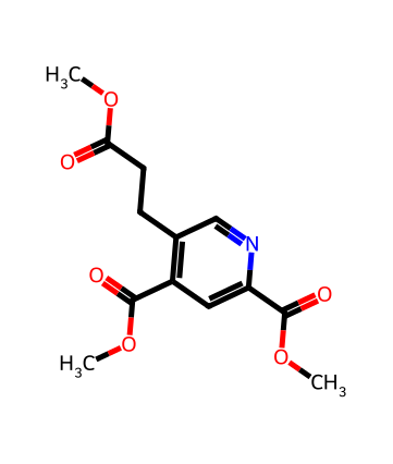 COC(=O)CCc1cnc(C(=O)OC)cc1C(=O)OC